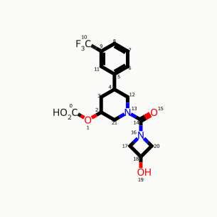 O=C(O)OC1CC(c2cccc(C(F)(F)F)c2)CN(C(=O)N2CC(O)C2)C1